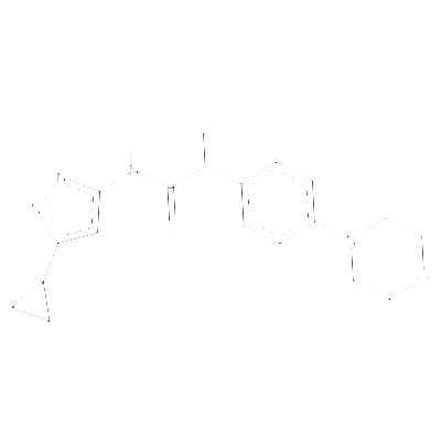 CC(C(=O)Nc1cc(C2CC2)[nH]n1)c1ccc(N2CCOCC2)cc1